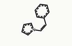 C(=C/n1cccc1)/c1ccccc1